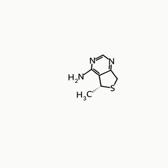 C[C@H]1SCc2ncnc(N)c21